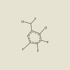 Fc1cc(C(F)Cl)c(Cl)c(F)c1F